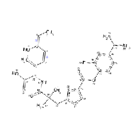 C=C(/C=C\C(O)=C/C)[C@H](NC(=O)C(C)(C)Cc1ccc(C(=O)Oc2ccc(C(N)N)cc2F)s1)C(=O)O